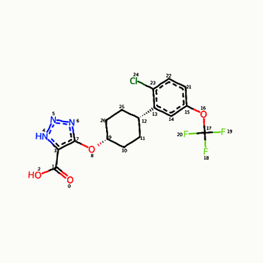 O=C(O)c1[nH]nnc1O[C@H]1CC[C@@H](c2cc(OC(F)(F)F)ccc2Cl)CC1